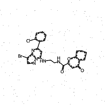 O=C(NCCNc1cc(-c2ccccc2Cl)nc2c(Br)cnn12)c1cc(=O)c2ccccc2o1